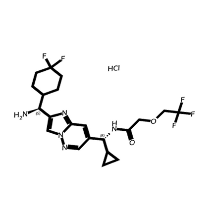 Cl.N[C@H](c1cn2ncc([C@H](NC(=O)COCC(F)(F)F)C3CC3)cc2n1)C1CCC(F)(F)CC1